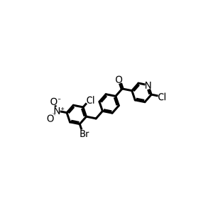 O=C(c1ccc(Cc2c(Cl)cc([N+](=O)[O-])cc2Br)cc1)c1ccc(Cl)nc1